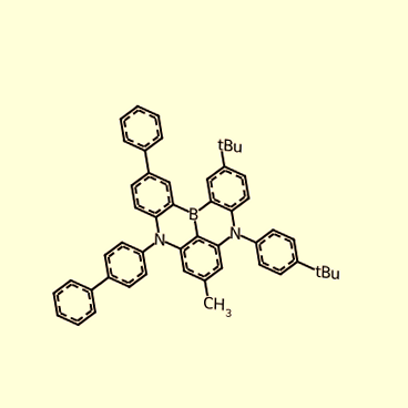 Cc1cc2c3c(c1)N(c1ccc(C(C)(C)C)cc1)c1ccc(C(C)(C)C)cc1B3c1cc(-c3ccccc3)ccc1N2c1ccc(-c2ccccc2)cc1